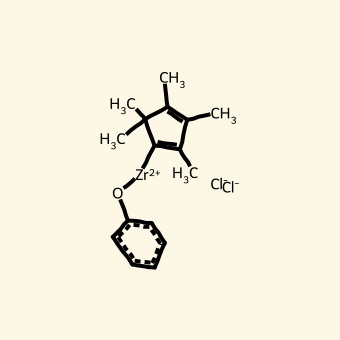 CC1=C(C)C(C)(C)[C]([Zr+2][O]c2ccccc2)=C1C.[Cl-].[Cl-]